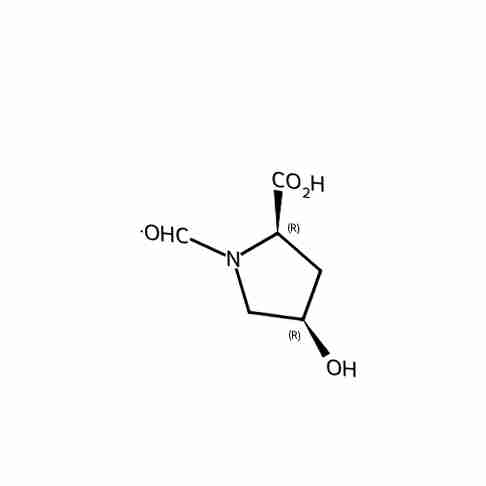 O=[C]N1C[C@H](O)C[C@@H]1C(=O)O